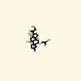 C[C@]12CCC(=O)C=C1[C@@H](SCC(=O)O)C[C@@H]1[C@@H]2[C@@H](O)C[C@@]2(C)[C@H]1CC[C@]2(O)C(=O)CO